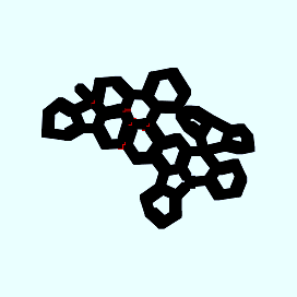 CC1(C)c2ccccc2-c2ccc(N(c3cc4c5c(c3)c3ccccc3n5-c3ccccc3C43c4ccccc4-c4ccccc43)c3ccccc3-c3ccccc3-c3ccccc3)cc21